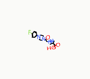 O=C(O)c1cnn(CC(=O)N2CCN(c3ccc(F)cc3)CC2)c1